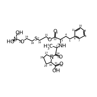 CC(NC(CCc1ccccc1)C(=O)OCCSCCON(O)O)C(=O)N1CCCC1C(=O)O